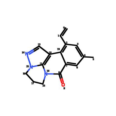 C=Cc1cc(C)cc2c(=O)n3c4c(cnn4CCC3)c12